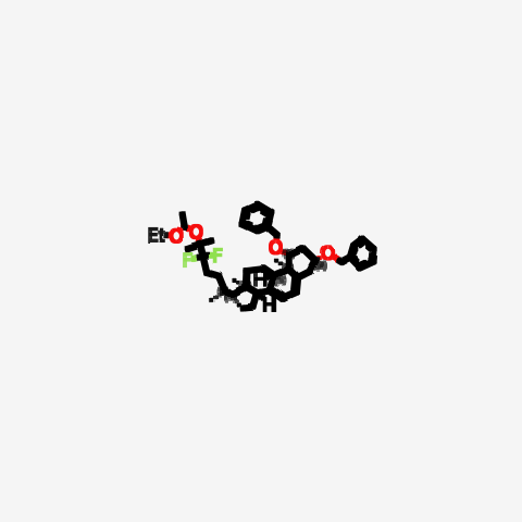 CCOC(C)OC(C)(C)C(F)(F)CC[C@@H](C)[C@H]1CC[C@H]2C3=CC=C4C[C@@H](OCc5ccccc5)C[C@H](OCc5ccccc5)[C@]4(C)[C@H]3CC[C@]12C